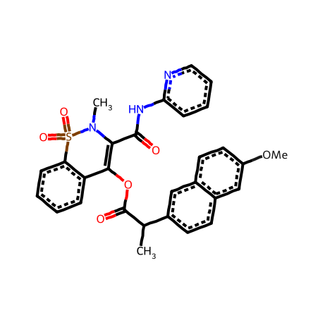 COc1ccc2cc(C(C)C(=O)OC3=C(C(=O)Nc4ccccn4)N(C)S(=O)(=O)c4ccccc43)ccc2c1